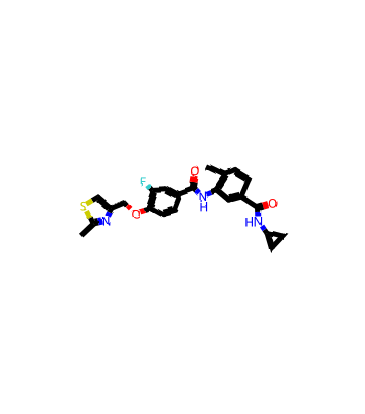 Cc1nc(COc2ccc(C(=O)Nc3cc(C(=O)NC4CC4)ccc3C)cc2F)cs1